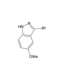 COc1ccc2[nH]nc(C(C)C)c2c1